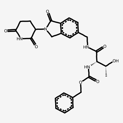 C[C@@H](O)[C@H](NC(=O)OCc1ccccc1)C(=O)NCc1ccc2c(c1)CN(C1CCC(=O)NC1=O)C2=O